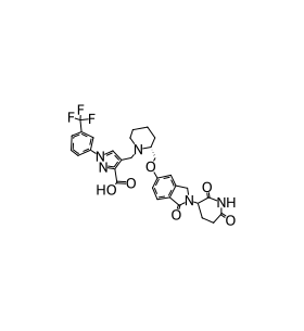 O=C1CCC(N2Cc3cc(OC[C@H]4CCCCN4Cc4cn(-c5cccc(C(F)(F)F)c5)nc4C(=O)O)ccc3C2=O)C(=O)N1